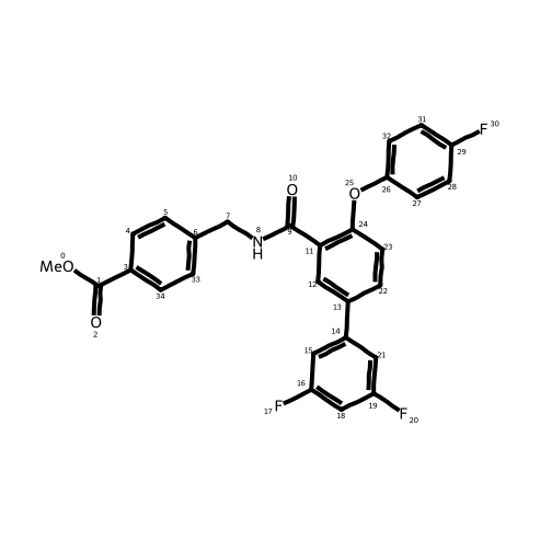 COC(=O)c1ccc(CNC(=O)c2cc(-c3cc(F)cc(F)c3)ccc2Oc2ccc(F)cc2)cc1